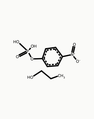 CCCO.O=[N+]([O-])c1ccc(OP(=O)(O)O)cc1